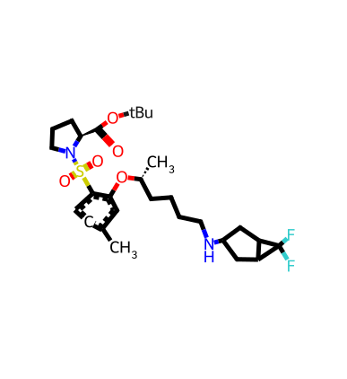 Cc1ccc(S(=O)(=O)N2CCC[C@H]2C(=O)OC(C)(C)C)c(O[C@H](C)CCCCNC2CC3C(C2)C3(F)F)c1